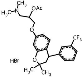 Br.CC(=O)OC(COc1ccc2c(c1)OC(C)(C)CC2c1cccc(C(F)(F)F)c1)CN(C)C